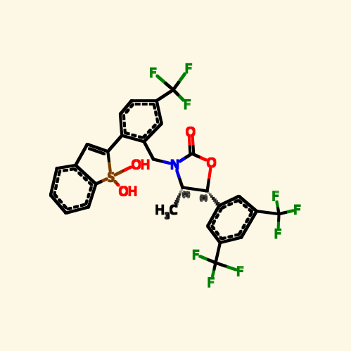 C[C@H]1[C@@H](c2cc(C(F)(F)F)cc(C(F)(F)F)c2)OC(=O)N1Cc1cc(C(F)(F)F)ccc1C1=Cc2ccccc2S1(O)O